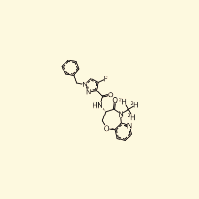 [2H]C([2H])([2H])N1C(=O)[C@@H](NC(=O)c2nn(Cc3ccccc3)cc2F)COc2cccnc21